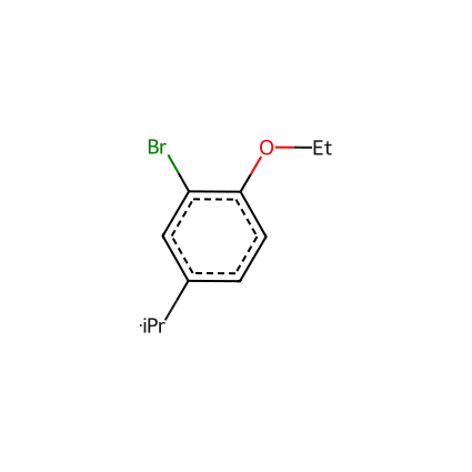 CCOc1ccc([C](C)C)cc1Br